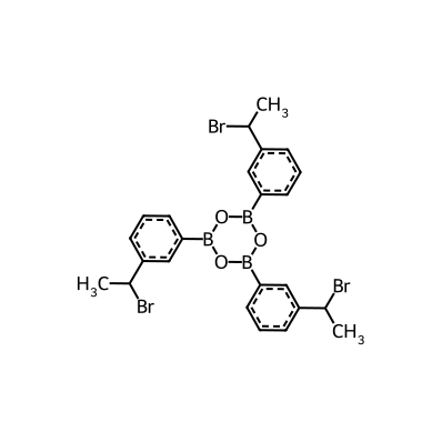 CC(Br)c1cccc(B2OB(c3cccc(C(C)Br)c3)OB(c3cccc(C(C)Br)c3)O2)c1